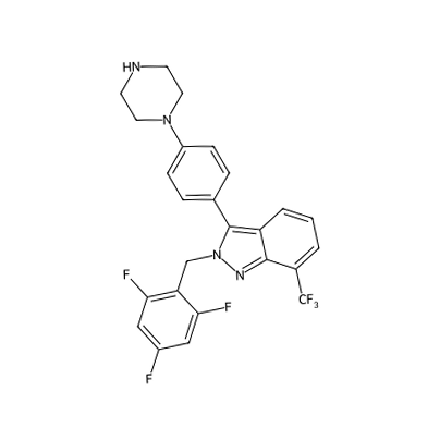 Fc1cc(F)c(Cn2nc3c(C(F)(F)F)cccc3c2-c2ccc(N3CCNCC3)cc2)c(F)c1